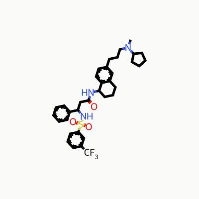 CN(CCCc1ccc2c(c1)CCCC2NC(=O)CC(NS(=O)(=O)c1cccc(C(F)(F)F)c1)c1ccccc1)C1CCCC1